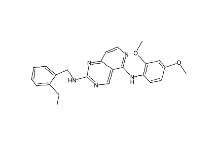 CCc1ccccc1CNc1ncc2c(Nc3ccc(OC)cc3OC)nccc2n1